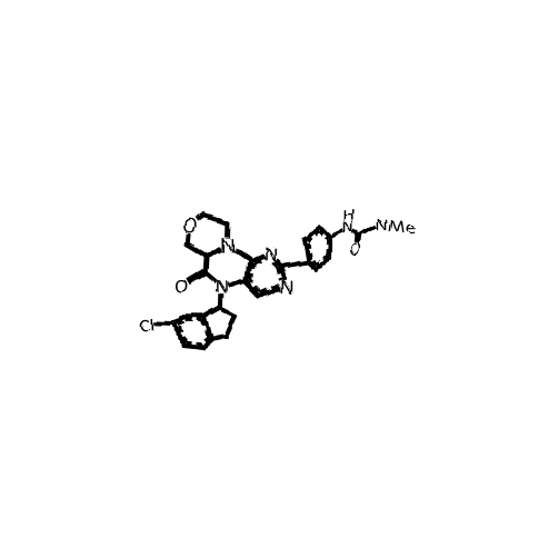 CNC(=O)Nc1ccc(-c2ncc3c(n2)N2CCOCC2C(=O)N3C2CCc3ccc(Cl)cc32)cc1